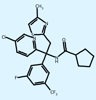 Cc1csc(CC(NC(=O)C2CCCC2)(c2cc(F)cc(C(F)(F)F)c2)c2ccc(Cl)cn2)n1